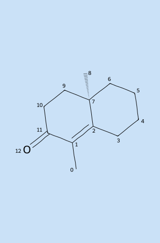 CC1=C2CCCC[C@]2(C)CCC1=O